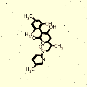 Cc1ccc([S+]([O-])CC(C)C2CC(O)=C(c3c(C)cc(C)cc3C)C(=O)O2)nc1